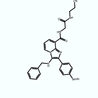 CC(=O)Nc1ccc(-c2nc3c(C(=O)NCC(=O)NCCC#N)cccn3c2NCc2ccccc2)cc1